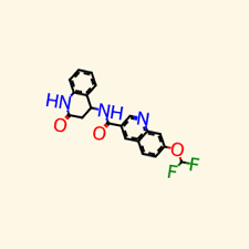 O=C1CC(NC(=O)c2cnc3cc(OC(F)F)ccc3c2)c2ccccc2N1